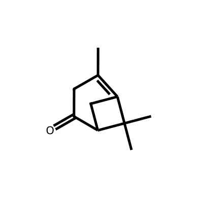 CC1=C2CC(C(=O)C1)C2(C)C